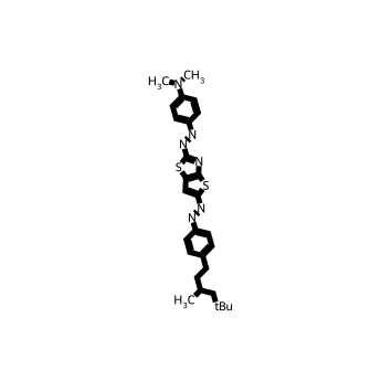 CC(CCc1ccc(/N=N/c2cc3sc(/N=N/c4ccc(N(C)C)cc4)nc3s2)cc1)CC(C)(C)C